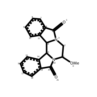 COC1CN2C(=O)c3ccccc3C2C2c3ccccc3C(=O)N12